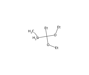 CCOC(CC)(OCC)[SiH2]C